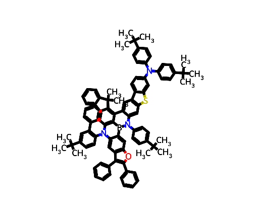 CC(C)(C)c1ccc(N2B3c4cc5oc(-c6ccccc6)c(-c6ccccc6)c5cc4N(c4ccc(C(C)(C)C)cc4-c4ccccc4)c4cc5c(c(c43)-c3cc4c(cc32)sc2cc(N(c3ccc(C(C)(C)C)cc3)c3ccc(C(C)(C)C)cc3)ccc24)C(C)(C)c2ccccc2-5)cc1